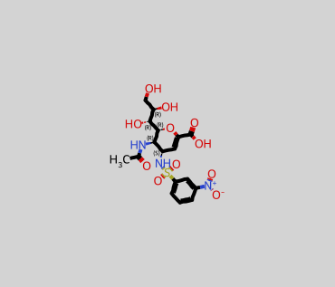 CC(=O)N[C@H]1[C@H]([C@H](O)[C@H](O)CO)OC(C(=O)O)=C[C@@H]1NS(=O)(=O)c1cccc([N+](=O)[O-])c1